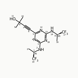 C[C@@H](Nc1nc(C#CC(C)(C)O)nc(N[C@H](C)C(F)(F)F)n1)C(F)(F)F